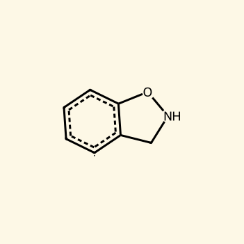 [c]1cccc2c1CNO2